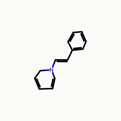 C1=CCN(C=Cc2ccccc2)C=C1